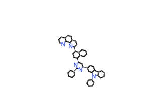 c1ccc(-c2nc(-c3ccc4c5ccccc5n(-c5ccccc5)c4c3)cc(-c3ccc(-c4ccc5ccc6cccnc6c5n4)c4ccccc34)n2)cc1